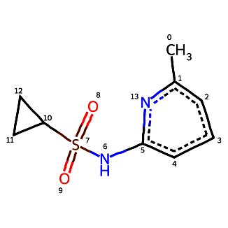 Cc1cccc(NS(=O)(=O)C2CC2)n1